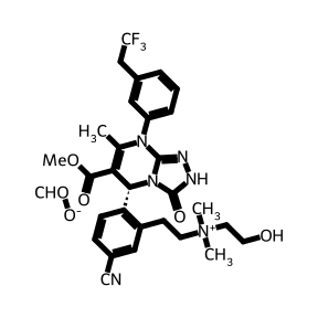 COC(=O)C1=C(C)N(c2cccc(CC(F)(F)F)c2)c2n[nH]c(=O)n2[C@@H]1c1ccc(C#N)cc1CC[N+](C)(C)CCO.O=C[O-]